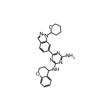 Nc1nc(NC2CCOc3ccccc32)nc(-c2ccc3cnn(C4CCCCO4)c3c2)n1